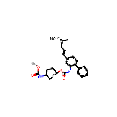 CC(CC=Cc1ccc(-c2ccccc2)c(NC(=O)OC2CCC(NC(=O)OC(C)(C)C)CC2)c1)C(=O)O